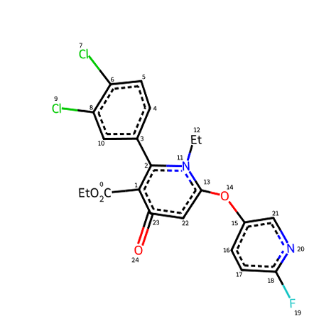 CCOC(=O)c1c(-c2ccc(Cl)c(Cl)c2)n(CC)c(Oc2ccc(F)nc2)cc1=O